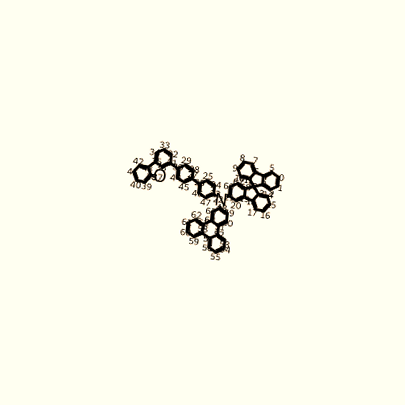 c1ccc2c(c1)-c1ccccc1C21c2ccccc2-c2cc(N(c3ccc(-c4ccc(-c5cccc6c5oc5ccccc56)cc4)cc3)c3ccc4c5ccccc5c5ccccc5c4c3)ccc21